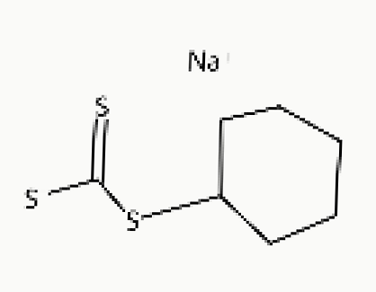 S=C([S-])SC1CCCCC1.[Na+]